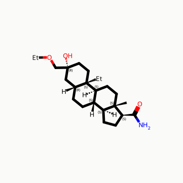 CCOC[C@@]1(O)CC[C@@]2(CC)[C@H](CC[C@H]3[C@@H]4CC[C@H](C(N)=O)[C@@]4(C)CC[C@@H]32)C1